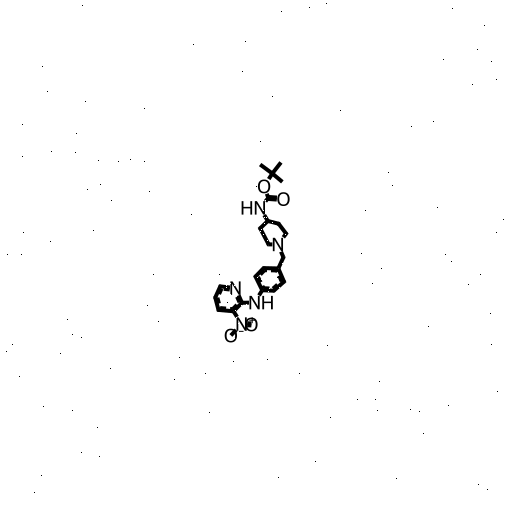 CC(C)(C)OC(=O)NC1CCN(Cc2ccc(Nc3ncccc3[N+](=O)[O-])cc2)CC1